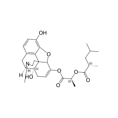 CC(C)C[C@H](C)C(=O)O[C@@H](C)C(=O)OC1=CC[C@@]2(O)[C@H]3Cc4ccc(O)c5c4C2(CCN3C)C1O5